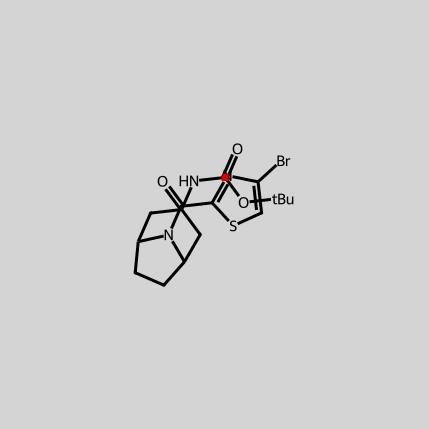 CC(C)(C)OC(=O)NC1CC2CCC(C1)N2C(=O)c1nc(Br)cs1